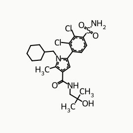 Cc1c(C(=O)NCC(C)(C)O)cc(-c2ccc(S(N)(=O)=O)c(Cl)c2Cl)n1CC1CCCCC1